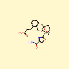 NC(=O)c1coc([C@H]2[C@@H](Cc3ccccc3CCC(=O)O)[C@@H]3CC[C@H]2O3)n1